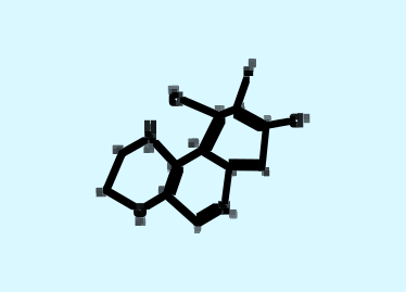 Fc1c(Cl)cc2ncc3c(c2c1Cl)NCCO3